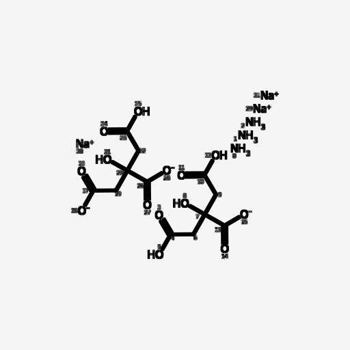 N.N.N.O=C(O)CC(O)(CC(=O)O)C(=O)[O-].O=C([O-])CC(O)(CC(=O)O)C(=O)[O-].[Na+].[Na+].[Na+]